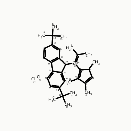 CC1=CC(C)[C]([Zr+2](=[C](C)C)[CH]2c3cc(C(C)(C)C)ccc3-c3ccc(C(C)(C)C)cc32)=C1C.[Cl-].[Cl-]